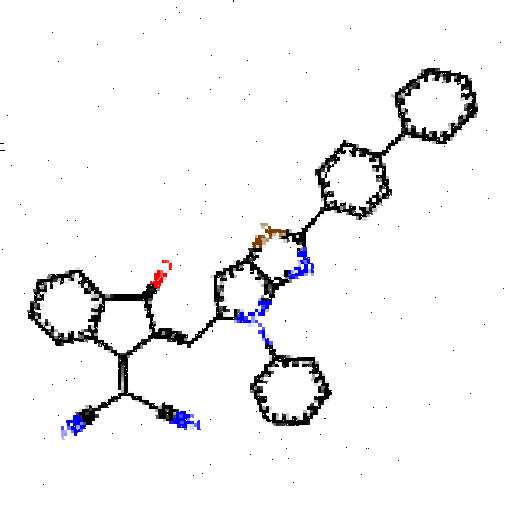 N#CC(C#N)=C1/C(=C/c2cc3sc(-c4ccc(-c5ccccc5)cc4)nc3n2-c2ccccc2)C(=O)c2ccccc21